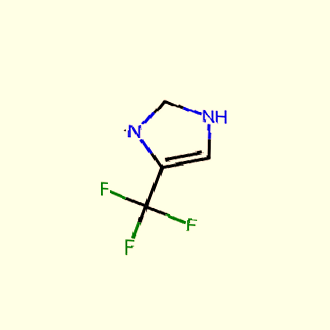 FC(F)(F)C1=CNC[N]1